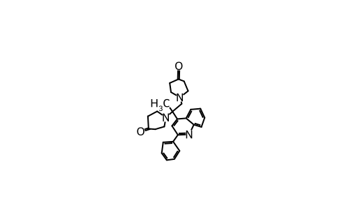 CC(CN1CCC(=O)CC1)(c1cc(-c2ccccc2)nc2ccccc12)N1CCC(=O)CC1